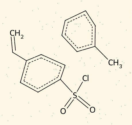 C=Cc1ccc(S(=O)(=O)Cl)cc1.Cc1ccccc1